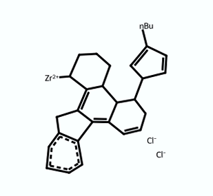 CCCCC1=CC(C2CC=CC3=C4C(=C5[CH]([Zr+2])CCCC5C32)Cc2ccccc24)C=C1.[Cl-].[Cl-]